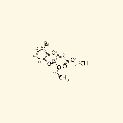 CCOC(=O)/C=C(/Oc1ccccc1Br)C(=O)OCC